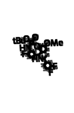 COc1ccc(C(NC(C)c2ccc(F)c(F)c2)c2ccc(F)c(Nc3c(OC(C)(C)C)c(=O)c3=O)c2)cc1